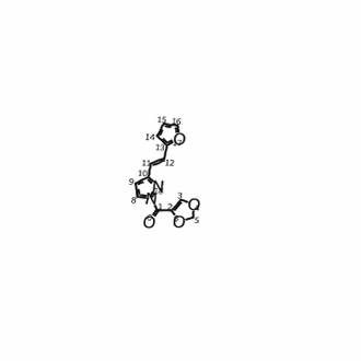 O=C(C1=COCO1)n1ccc(C=Cc2ccco2)n1